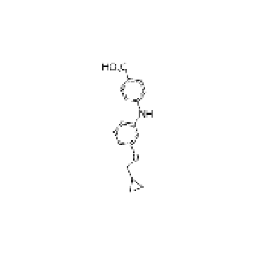 O=C(O)c1ccc(Nc2cccc(OCC3CC3)c2)cc1